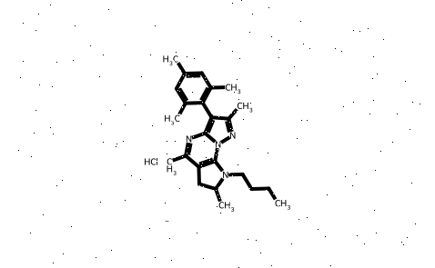 CCCCN1c2c(c(C)nc3c(-c4c(C)cc(C)cc4C)c(C)nn23)CC1C.Cl